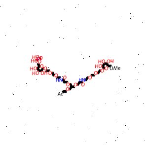 COCC1OC(OCCOCCOCCNC(=O)CCOCC(COCCC(C)=O)COCCC(=O)NCCOCCOCCOC2OC(COP(=O)(O)O)C(O)C(O)C2O)C(O)C(O)C1O